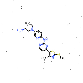 CCN(CCN)c1ccc(Nc2nccc(-c3sc(SC)nc3C)n2)nc1